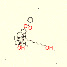 C[C@]12C[C@H](CCCCCCCCCO)[C@@H]3c4ccc(OC(=O)c5ccccc5)cc4CC[C@H]3C13CCC2(O)CC3